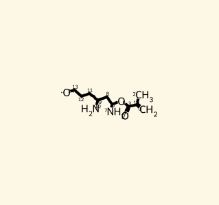 C=C(C)C(=O)OC(N)CC(N)CCC[O]